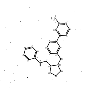 Nc1nccc(-c2cccc(CN3CCCC3CNc3ccccc3)c2)n1